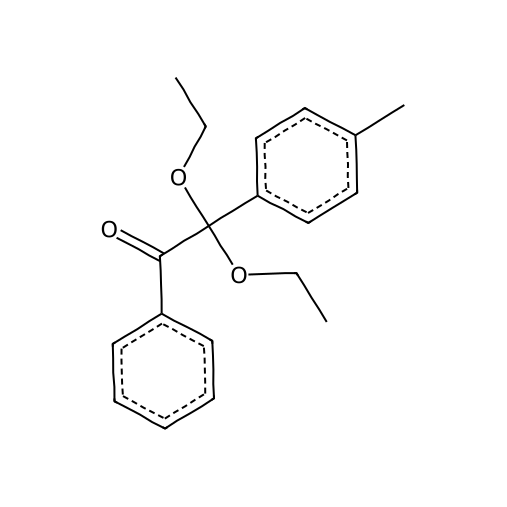 CCOC(OCC)(C(=O)c1ccccc1)c1ccc(C)cc1